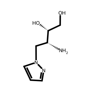 N[C@H](Cn1cccn1)[C@H](O)CO